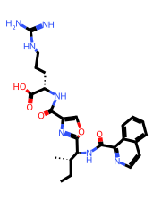 CC[C@H](C)[C@H](NC(=O)c1nccc2ccccc12)c1nc(C(=O)N[C@@H](CCCNC(=N)N)C(=O)O)co1